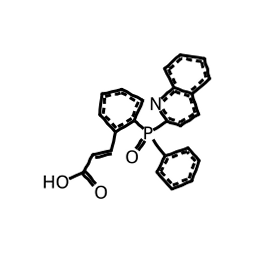 O=C(O)C=Cc1ccccc1P(=O)(c1ccccc1)c1ccc2ccccc2n1